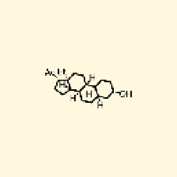 CC[C@]12CC[C@H]3[C@@H](CC[C@H]4C[C@H](O)CC[C@@H]43)[C@@H]1CC[C@@H]2C(C)=O